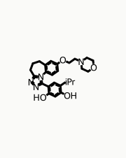 CC(C)c1cc(-c2nnc3n2-c2ccc(OCCN4CCOCC4)cc2CCC3)c(O)cc1O